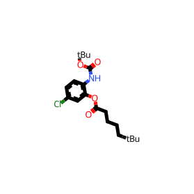 CC(C)(C)CCCCC(=O)Oc1cc(Cl)ccc1NC(=O)OC(C)(C)C